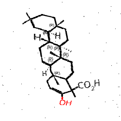 CC1(C)CC[C@]2(C)CC[C@]3(C)[C@H](CC[C@@H]4[C@@]5(C)CC=C(O)C(C)(C(=O)O)C5CC[C@]43C)[C@H]2C1